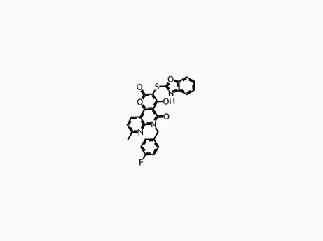 Cc1ccc2c3oc(=O)c(Sc4nc5ccccc5o4)c(O)c3c(=O)n(Cc3ccc(F)cc3)c2n1